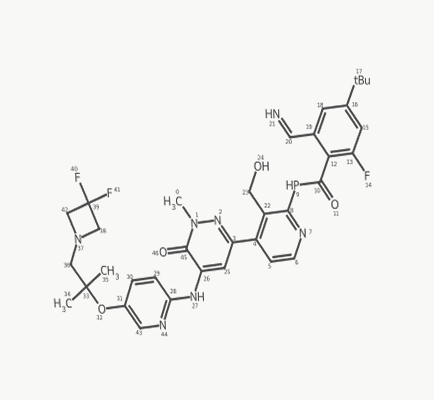 Cn1nc(-c2ccnc(PC(=O)c3c(F)cc(C(C)(C)C)cc3C=N)c2CO)cc(Nc2ccc(OC(C)(C)CN3CC(F)(F)C3)cn2)c1=O